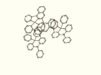 c1ccc(N2c3ccccc3C(c3ccccc3)(c3ccccc3)c3c(-c4cccc5c(-c6cc7ccccc7c7c6C6(c8ccccc8-c8ccccc86)c6ccccc6-7)c6cccc(-c7cccc8c7C(c7ccccc7)(c7ccccc7)c7ccccc7N8c7ccccc7)c6cc45)cccc32)cc1